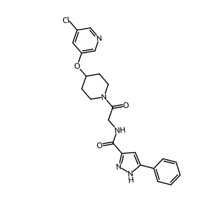 O=C(NCC(=O)N1CCC(Oc2cncc(Cl)c2)CC1)c1cc(-c2ccccc2)[nH]n1